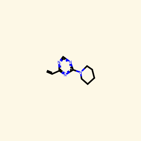 C=Cc1ncnc(N2CCCCC2)n1